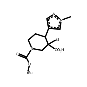 CCC1(C(=O)O)CN(C(=O)OC(C)(C)C)CCC1c1cnn(C)c1